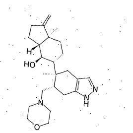 C=C1CC[C@H]2[C@H](O)[C@@H]([C@@]3(C)Cc4cn[nH]c4C[C@@H]3CN3CCOCC3)CC[C@]12C